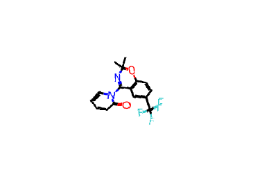 CC1(C)N=C(n2ccccc2=O)c2cc(C(F)(F)F)ccc2O1